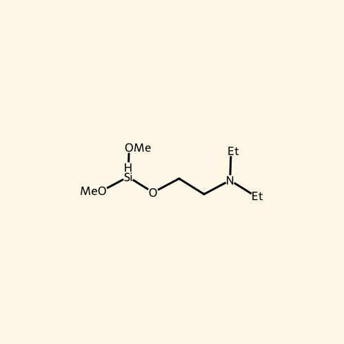 CCN(CC)CCO[SiH](OC)OC